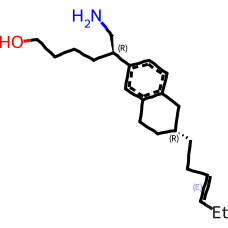 CC/C=C/CC[C@@H]1CCc2cc([C@H](CN)CCCCO)ccc2C1